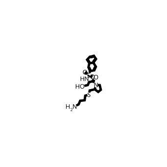 NCCCCSCC1CCCN1C(=O)C(CO)NS(=O)(=O)c1ccc2ccccc2c1